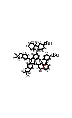 CC1(C)Cc2ccc(N3c4cc5c(cc4B4c6ccccc6N(c6ccc(C(C)(C)C)cc6-c6ccccc6)c6cc(N7c8ccc(C(C)(C)C)cc8C8(C)CCCCC78C)cc3c64)CC(C)(C)C5)cc2C1